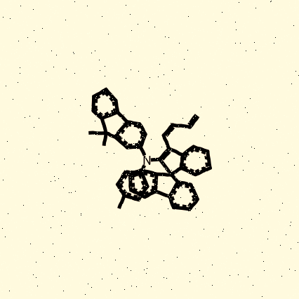 C=C/C=C\C1=C(N(c2ccc(C)cc2)c2ccc3c(c2)C(C)(C)c2ccccc2-3)C2(c3ccccc31)c1ccccc1-c1ccccc12